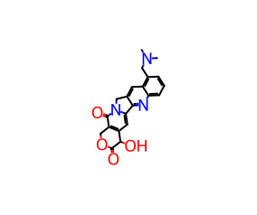 CN(C)Cc1cccc2nc3c(cc12)Cn1c-3cc2c(c1=O)COC(=O)C2O